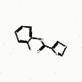 O=C(Nc1ccccc1F)c1cscn1